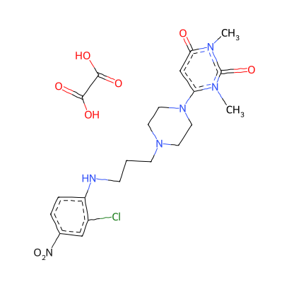 Cn1c(N2CCN(CCCNc3ccc([N+](=O)[O-])cc3Cl)CC2)cc(=O)n(C)c1=O.O=C(O)C(=O)O